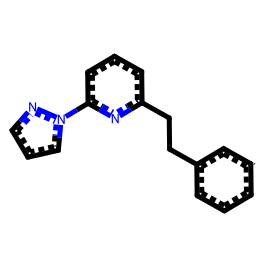 [c]1cccc(CCc2cccc(-n3cccn3)n2)c1